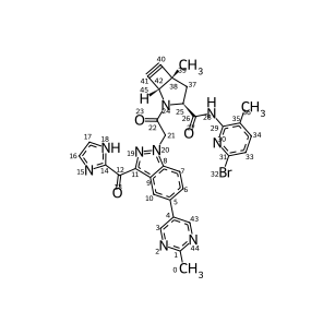 Cc1ncc(-c2ccc3c(c2)c(C(=O)c2ncc[nH]2)nn3CC(=O)N2[C@H](C(=O)Nc3nc(Br)ccc3C)C[C@@]3(C)C#C[C@@H]23)cn1